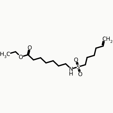 C=CCCCCS(=O)(=O)NCCCCCCC(=O)OCC